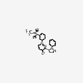 O=c1ccn(-c2cccc(S(=O)(=O)C(F)(F)F)c2)nc1C1CC=NN1c1ccccc1